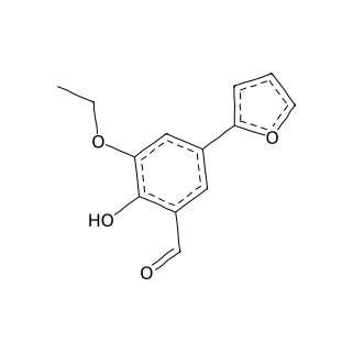 CCOc1cc(-c2ccco2)cc(C=O)c1O